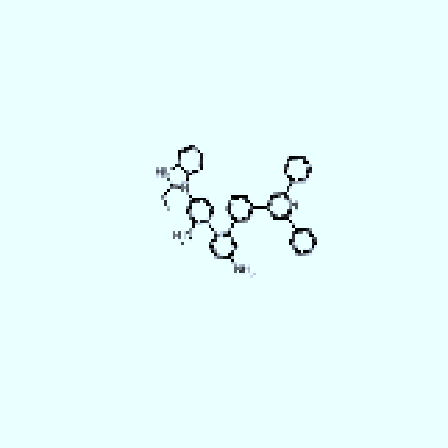 CCC1NC2C=CC=CC2N1c1ccc(-c2ccc(N)cc2-c2cccc(-c3cc(-c4ccccc4)nc(-c4ccccc4)c3)c2)c(N)c1